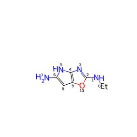 CCNc1nc2[nH]c(N)cc2o1